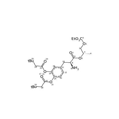 CCOC(=O)OC[C@H](C)OC(=O)[C@@H](N)Cc1ccc(OC(=O)CC(C)(C)C)c(OC(=O)CC(C)(C)C)c1